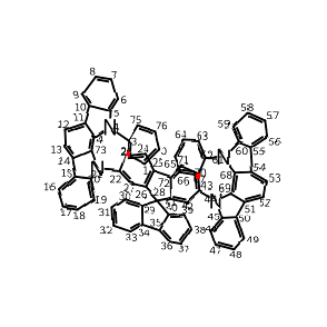 c1ccc(-n2c3ccccc3c3ccc4c5ccccc5n(-c5ccc6c(c5)C5(c7ccccc7-c7ccccc75)c5cc(-n7c8ccccc8c8ccc9c%10ccccc%10n(-c%10ccccc%10)c9c87)ccc5-6)c4c32)cc1